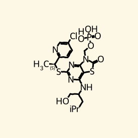 CC(C)CC(CO)Nc1nc(S[C@@H](C)c2ccc(Cl)cn2)nc2c1sc(=O)n2COP(=O)(O)O